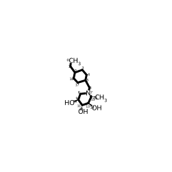 CCC1CCC(CN2C[C@H](O)[C@@H](O)[C@H](O)[C@H]2C)CC1